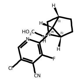 N#Cc1c(Cl)cnc(N2C[C@@H]3CC[C@H]2[C@@H]3NC(=O)O)c1F